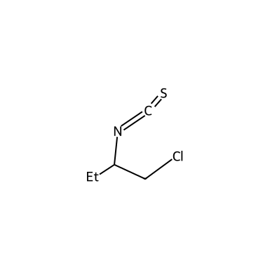 CCC(CCl)N=C=S